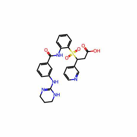 O=C(O)CC(c1cccnc1)S(=O)(=O)c1ccccc1NC(=O)c1cccc(NC2=NCCCN2)c1